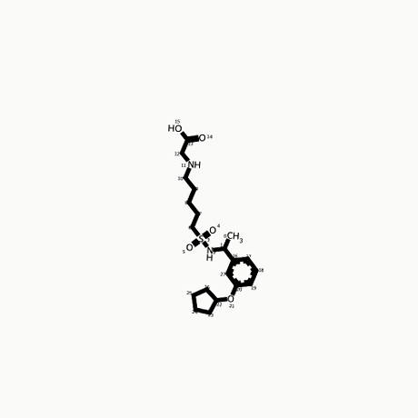 CC(NS(=O)(=O)CCCCCNCC(=O)O)c1cccc(OC2CCCC2)c1